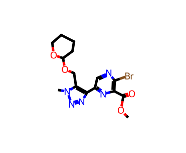 COC(=O)c1nc(-c2nnn(C)c2COC2CCCCO2)cnc1Br